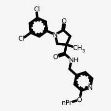 CCCOc1cc(CNC(=O)C2(C)CC(=O)N(c3cc(Cl)cc(Cl)c3)C2)ccn1